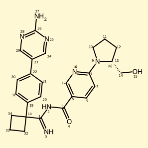 N=C(NC(=O)c1ccc(N2CCC[C@@H]2CO)nc1)C1(c2ccc(-c3cnc(N)nc3)cc2)CCC1